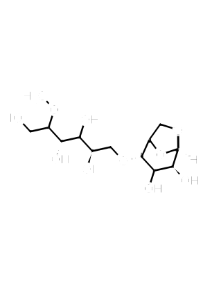 COC(CO)[C@@H](O)C(O)[C@H](O)CO[C@@H]1C2CO[C@H](O2)[C@@H](O)C1O